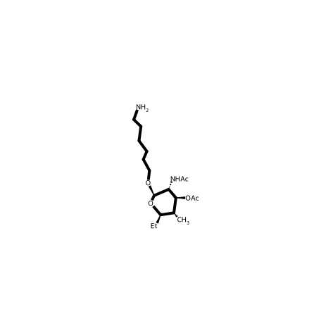 CC[C@H]1O[C@@H](OCCCCCCN)[C@H](NC(C)=O)[C@@H](OC(C)=O)[C@@H]1C